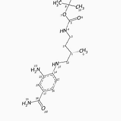 C[C@@H](CCNC(=O)OC(C)(C)C)CNc1ccc(C(N)=O)cc1N